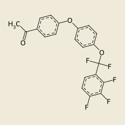 CC(=O)c1ccc(Oc2ccc(OC(F)(F)c3ccc(F)c(F)c3F)cc2)cc1